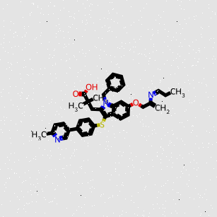 C=C(COc1ccc2c(Sc3ccc(-c4ccc(C)nc4)cc3)c(CC(C)(C)C(=O)O)n(Cc3ccccc3)c2c1)/N=C\CC